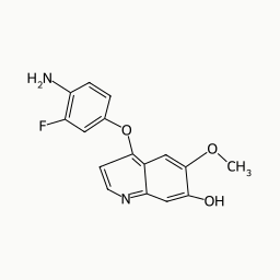 COc1cc2c(Oc3ccc(N)c(F)c3)ccnc2cc1O